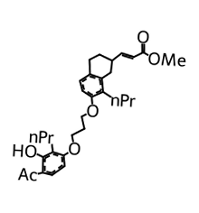 CCCc1c(OCCCOc2ccc3c(c2CCC)CC(C=CC(=O)OC)CC3)ccc(C(C)=O)c1O